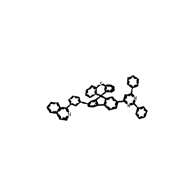 c1ccc(-c2cc(-c3ccc4c(c3)C3(c5ccccc5Sc5ccccc53)c3cc(-c5cccc(-c6nccc7ccccc67)c5)ccc3-4)nc(-c3ccccc3)n2)cc1